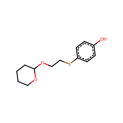 Oc1ccc(SCCOC2CCCCO2)cc1